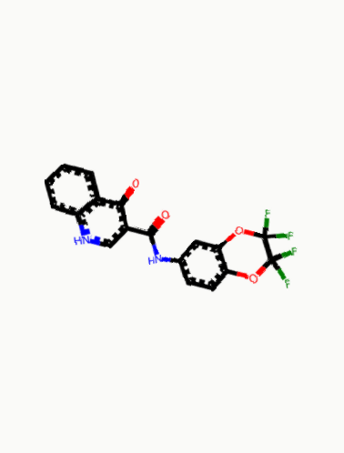 O=C(Nc1ccc2c(c1)OC(F)(F)C(F)(F)O2)c1c[nH]c2ccccc2c1=O